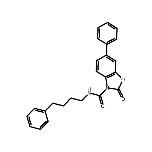 O=C(NCCCCc1ccccc1)n1c(=O)oc2cc(-c3ccccc3)ccc21